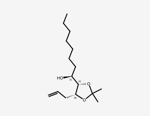 C=CC[C@H]1OC(C)(C)O[C@H]1[C@@H](O)CCCCCCC